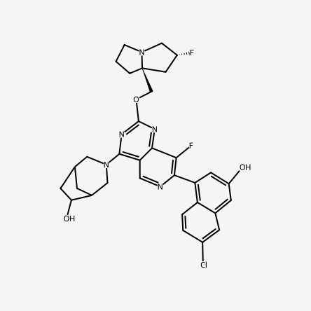 Oc1cc(-c2ncc3c(N4CC5CC(O)C(C5)C4)nc(OC[C@@]45CCCN4C[C@H](F)C5)nc3c2F)c2ccc(Cl)cc2c1